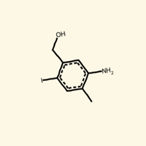 Cc1cc(I)c(CO)cc1N